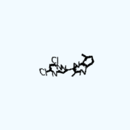 Cc1nc2cccc(C)c2nc1-c1cc2nc(Cl)cc(Cl)n2n1